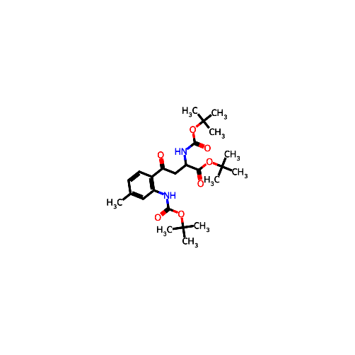 Cc1ccc(C(=O)CC(NC(=O)OC(C)(C)C)C(=O)OC(C)(C)C)c(NC(=O)OC(C)(C)C)c1